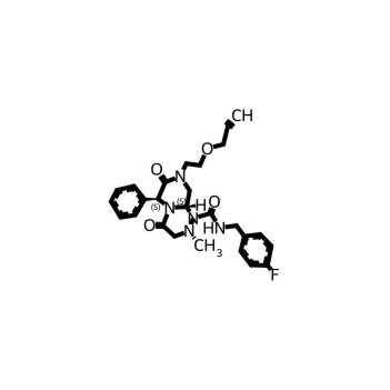 C#CCOCCN1C[C@H]2N(C(=O)CN(C)N2C(=O)NCc2ccc(F)cc2)[C@@H](c2ccccc2)C1=O